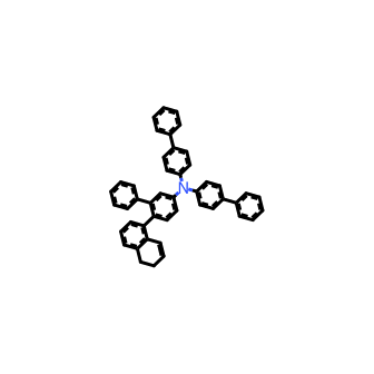 C1=Cc2c(cccc2-c2ccc(N(c3ccc(-c4ccccc4)cc3)c3ccc(-c4ccccc4)cc3)cc2-c2ccccc2)CC1